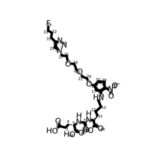 O=C(O)CC[C@H](NC(=O)N[C@@H](CCCCNc1cc(OCCOCCOCCn2cc(CCCF)nn2)ccc1[N+](=O)[O-])C(=O)O)C(=O)O